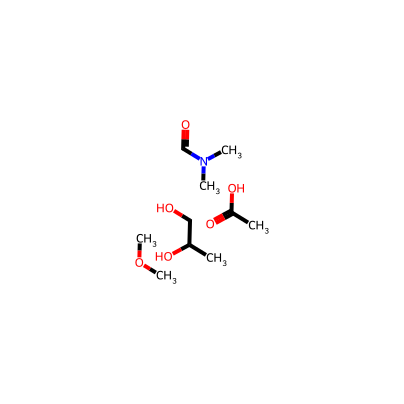 CC(=O)O.CC(O)CO.CN(C)C=O.COC